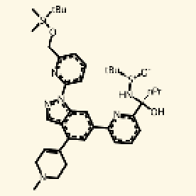 CCC[C@@](O)(N[S@+]([O-])C(C)(C)C)c1cccc(-c2cc(C3=CCN(C)CC3)c3cnn(-c4cccc(CO[Si](C)(C)C(C)(C)C)n4)c3c2)n1